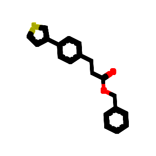 O=C(CCc1ccc(-c2ccsc2)cc1)OCc1ccccc1